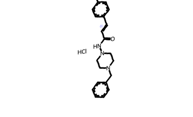 Cl.O=C(/C=C/c1ccc(C(=O)O)cc1)NN1CCN(Cc2ccccc2)CC1